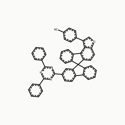 N#Cc1ccc(-c2coc3ccc4c(c23)-c2ccccc2C42c3ccccc3-c3ccc(-c4nc(-c5ccccc5)nc(-c5ccccc5)n4)cc32)cc1